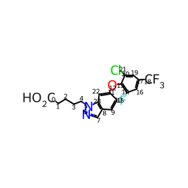 O=C(O)CCCCn1ncc2ccc(Oc3c(F)cc(C(F)(F)F)cc3Cl)cc21